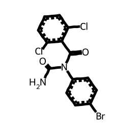 NC(=O)N(C(=O)c1c(Cl)cccc1Cl)c1ccc(Br)cc1